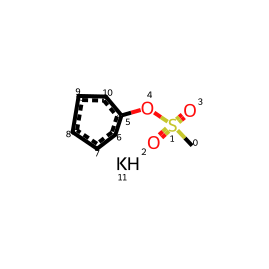 CS(=O)(=O)Oc1ccccc1.[KH]